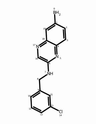 Bc1ccc2nc(NCc3cccc(Cl)c3)cnc2c1